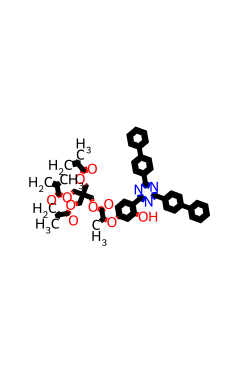 C=C(C)C(=O)OCC(COC(=O)C(=C)C)(COC(=O)C(=C)C)COC(=O)C(C)Oc1ccc(-c2nc(-c3ccc(-c4ccccc4)cc3)nc(-c3ccc(-c4ccccc4)cc3)n2)c(O)c1